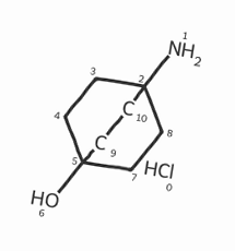 Cl.NC12CCC(O)(CC1)CC2